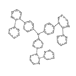 c1ccc(-c2ncccc2-c2ccc(N(c3ccc(-c4cccnc4-c4ccccn4)cc3)c3ccc(-c4cccnc4-c4ccccn4)cc3)cc2)nc1